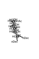 CCCCCCCCCCCCC/C=C/[C@@H](O)[C@H](CO[C@@H]1OC(CO)[C@@H](O[C@@H]2OC(CO)[C@H](O[C@@H]3OC(CO)[C@H](O)[C@H](O[C@@H]4OC(CO)[C@H](O)[C@H](O)C4NC(C)=O)C3O)[C@H](O)C2O)[C@H](O)C1O)NC(=O)CCCCCCCCCCCCCCC